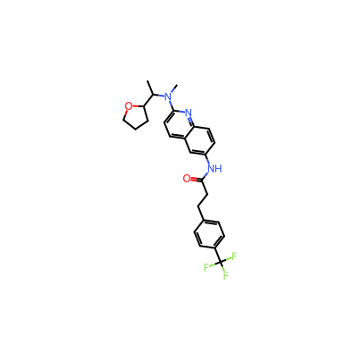 CC(C1CCCO1)N(C)c1ccc2cc(NC(=O)CCc3ccc(C(F)(F)F)cc3)ccc2n1